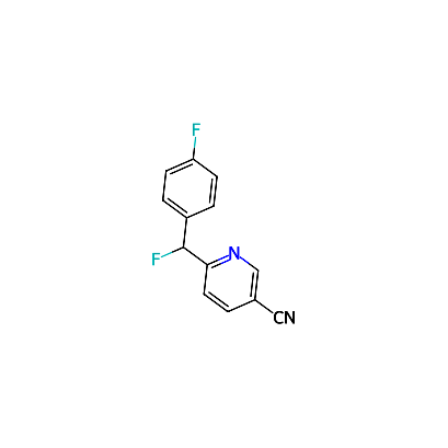 N#Cc1ccc(C(F)c2ccc(F)cc2)nc1